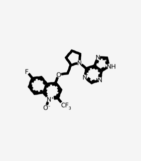 [O-][n+]1c(C(F)(F)F)cc(OCC2CCCN2c2ncnc3[nH]cnc23)c2cc(F)ccc21